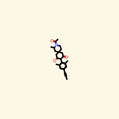 CC#Cc1cc(C)c(C2C(=O)CC3(CCN(C(C)=O)C(C)C3)CC2=O)c(C)c1